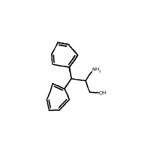 NC(CO)C(c1ccccc1)c1ccccc1